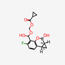 O=C(OCOC(O)c1c(F)ccc2c1OB(O)[C@@H]1C[C@H]21)C1CC1